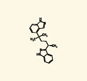 C[C@H](CCC(C)(C)c1cccc2[nH]ncc12)c1n[nH]c2ccccc12